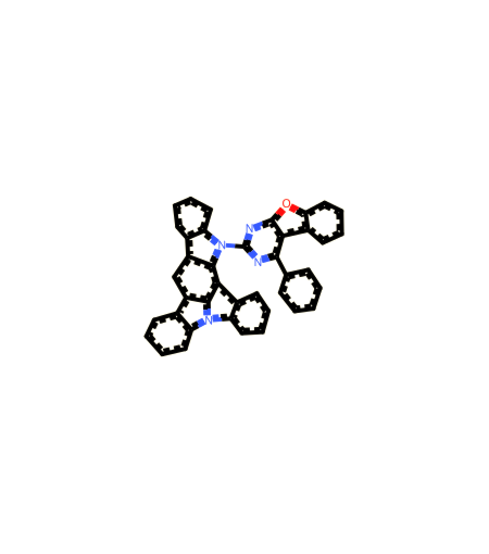 c1ccc(-c2nc(-n3c4ccccc4c4cc5c6ccccc6n6c7ccccc7c(c43)c56)nc3oc4ccccc4c23)cc1